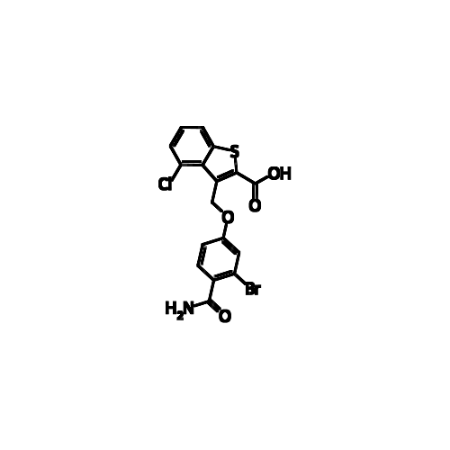 NC(=O)c1ccc(OCc2c(C(=O)O)sc3cccc(Cl)c23)cc1Br